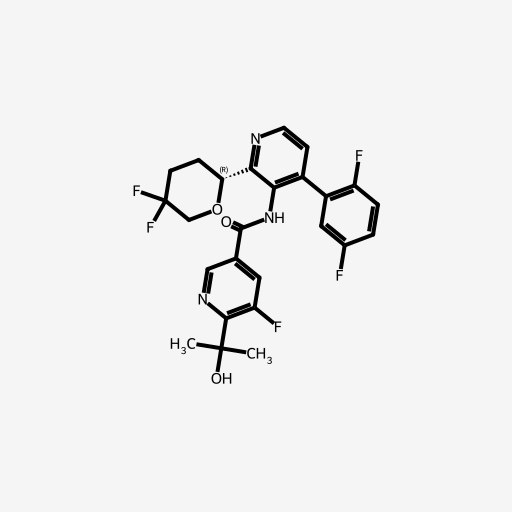 CC(C)(O)c1ncc(C(=O)Nc2c(-c3cc(F)ccc3F)ccnc2[C@H]2CCC(F)(F)CO2)cc1F